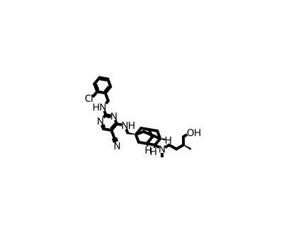 C[C@H](CO)CCN(C)[C@@H]1[C@@H]2CC3C[C@H]1C[C@@](CNc1nc(NCc4ccccc4Cl)ncc1C#N)(C3)C2